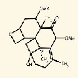 COC1C(=O)C2(C)C(OC)CC3OCC3C23CC2(O)CCC(C)=C1[C@@]23C